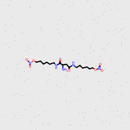 NC(CC(=O)NCCCCCCO[N+](=O)[O-])C(=O)NCCCCCCO[N+](=O)[O-]